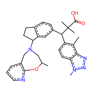 Cc1c(C(c2ccc3c(c2)C(N2Cc4cccnc4OC(C)C2)CC3)C(C)(C)C(=O)O)ccc2c1nnn2C